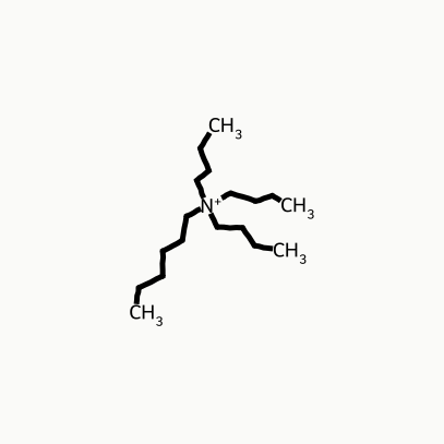 CCCCCC[N+](CCCC)(CCCC)CCCC